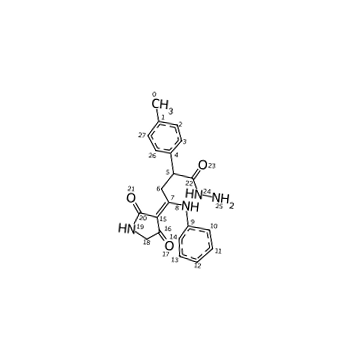 Cc1ccc(C(CC(Nc2ccccc2)=C2C(=O)CNC2=O)C(=O)NN)cc1